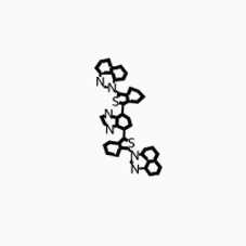 C1=Nc2cccc3cccc(c23)N1c1sc(-c2ccc(-c3sc(N4C=Nc5cccc6cccc4c56)c4ccccc34)c3nccnc23)c2ccccc12